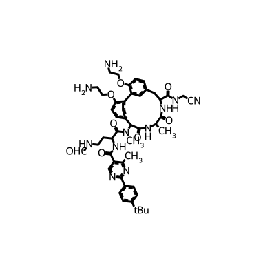 Cc1nc(-c2ccc(C(C)(C)C)cc2)ncc1C(=O)NC(CCNC=O)C(=O)N(C)C1C(=O)NC(C)C(=O)NC(C(=O)NCC#N)Cc2ccc(OCCN)c(c2)-c2cc1ccc2OCCN